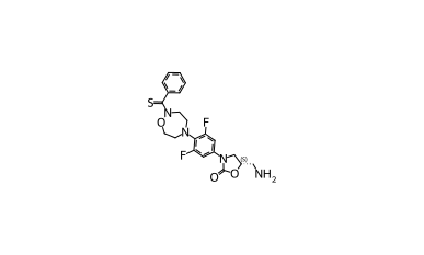 NC[C@H]1CN(c2cc(F)c(N3CCON(C(=S)c4ccccc4)CC3)c(F)c2)C(=O)O1